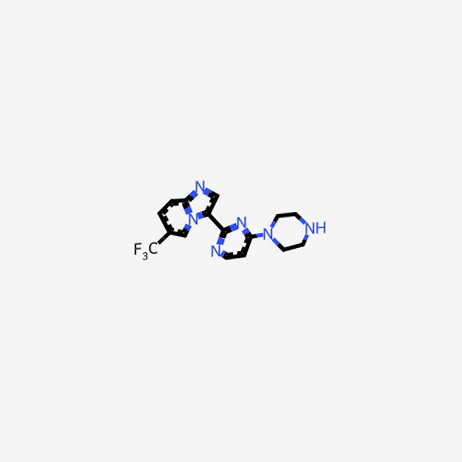 FC(F)(F)c1ccc2ncc(-c3nccc(N4CCNCC4)n3)n2c1